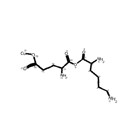 NCCCCC(N)C(=O)OC(=O)C(N)CCC(=O)[O][Cu]